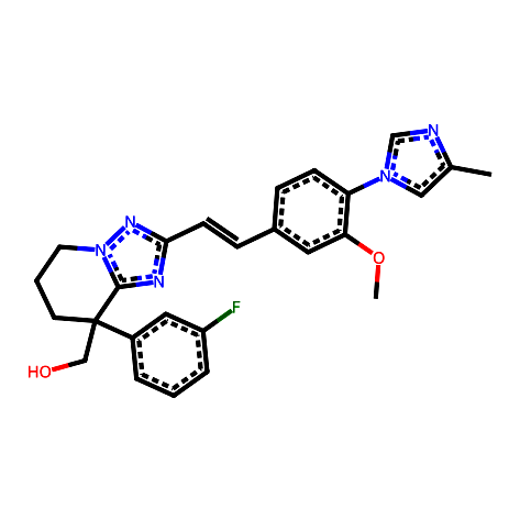 COc1cc(C=Cc2nc3n(n2)CCCC3(CO)c2cccc(F)c2)ccc1-n1cnc(C)c1